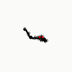 CC(C)[C@]12O[C@H]1[C@@H]1O[C@]13[C@]1(O[C@H]1C[C@H]1C4=C(CC[C@@]13C)C(=O)OC4)[C@@H]2OC(=O)CCCC(=O)OCCN1CCN(CCOC(=O)CCCCC2CCSS2)CC1